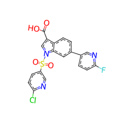 O=C(O)c1cn(S(=O)(=O)c2ccc(Cl)nc2)c2cc(-c3ccc(F)nc3)ccc12